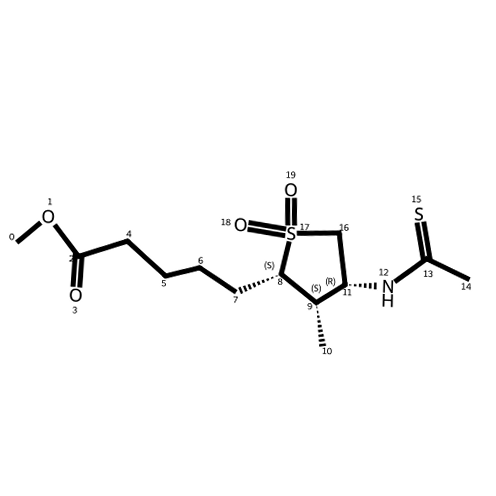 COC(=O)CCCC[C@H]1[C@@H](C)[C@@H](NC(C)=S)CS1(=O)=O